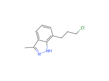 Cc1n[nH]c2c(CCCCl)cccc12